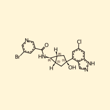 O=C(N[C@H]1[C@@H]2C[C@](O)(c3cc(Cl)cc4[nH]ncc34)C[C@@H]21)c1cncc(Br)c1